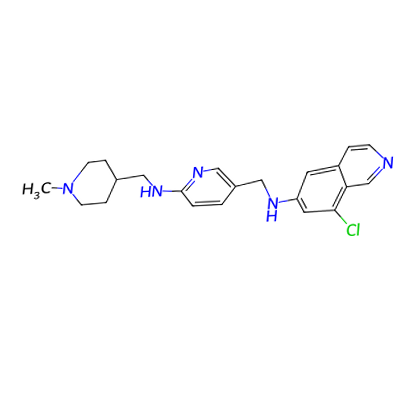 CN1CCC(CNc2ccc(CNc3cc(Cl)c4cnccc4c3)cn2)CC1